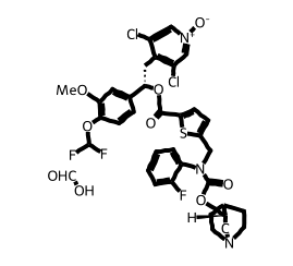 COc1cc([C@H](Cc2c(Cl)c[n+]([O-])cc2Cl)OC(=O)c2ccc(CN(C(=O)O[C@H]3CN4CCC3CC4)c3ccccc3F)s2)ccc1OC(F)F.O=CO